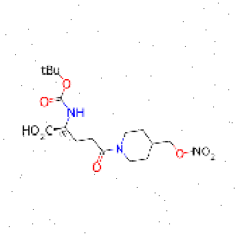 CC(C)(C)OC(=O)N[C@@H](CCC(=O)N1CCC(CO[N+](=O)[O-])CC1)C(=O)O